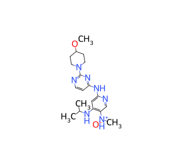 COC1CCN(c2nccc(Nc3cc(NC(C)C)c([NH+](C)[O-])cn3)n2)CC1